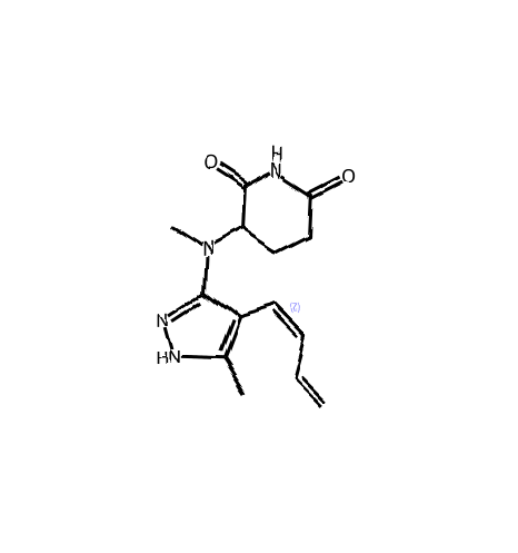 C=C/C=C\c1c(N(C)C2CCC(=O)NC2=O)n[nH]c1C